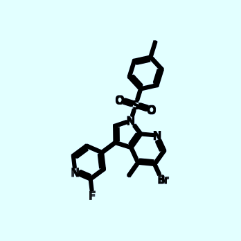 Cc1ccc(S(=O)(=O)n2cc(-c3ccnc(F)c3)c3c(C)c(Br)cnc32)cc1